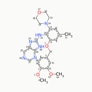 COc1ccc(COc2cc(C)cc(N3CCOCC3)c2Nc2nc3cncnc3[nH]2)cc1OC